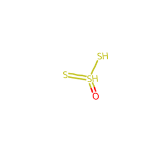 O=[SH](=S)S